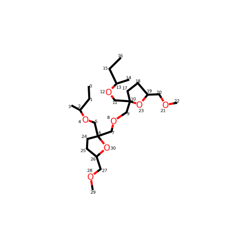 CCC(C)OCC1(COCC2(COC(C)CC)CCC(COC)O2)CCC(COC)O1